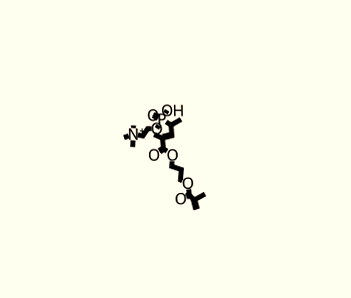 C=C(C)C(=O)OCCCOC(=O)C(C)=CC(C)P(=O)(O)OCC[N+](C)(C)C